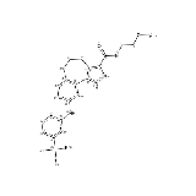 COCCNC(=O)c1n[nH]c2c1CCCc1cnc(Nc3cccc(C(F)(F)F)c3)nc1-2